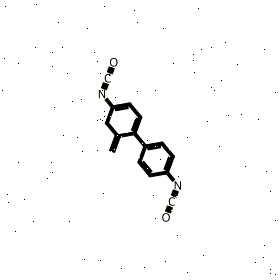 C=C1CC(N=C=O)=CC=C1c1ccc(N=C=O)cc1